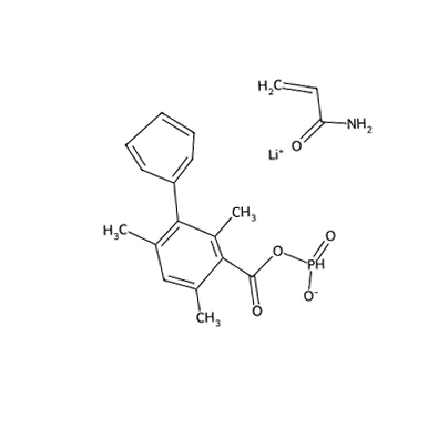 C=CC(N)=O.Cc1cc(C)c(-c2ccccc2)c(C)c1C(=O)O[PH](=O)[O-].[Li+]